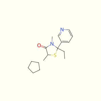 C1CCCC1.CCC1(c2cccnc2)SC(C)C(=O)N1C